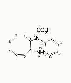 N[C@@H]1C=CCCCC[C@H]1N(C(=O)O)c1ccccc1